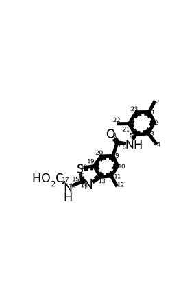 Cc1cc(C)c(NC(=O)c2cc(C)c3nc(NC(=O)O)sc3c2)c(C)c1